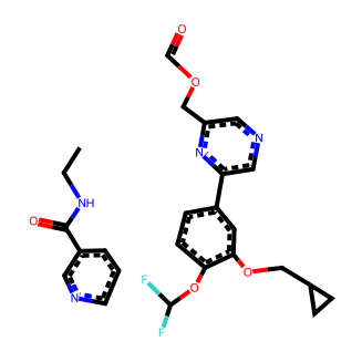 CCNC(=O)c1cccnc1.O=COCc1cncc(-c2ccc(OC(F)F)c(OCC3CC3)c2)n1